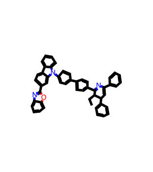 CCC1C(c2ccc(-c3ccc(-n4c5ccccc5c5ccc(-c6nc7ccccc7o6)cc54)cc3)cc2)=NC(c2ccccc2)=CC1c1ccccc1